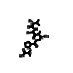 CCC(C)[C@@H](CCC(=O)C1CCC[C@H]1C[C@@H](C)C(=O)N=O)N(C)C(=O)C(NC(=O)[C@H](C(C)C)N(C)C)C(C)C